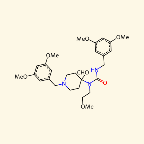 COCCN(C(=O)NCc1cc(OC)cc(OC)c1)C1(C=O)CCN(Cc2cc(OC)cc(OC)c2)CC1